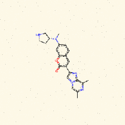 Cc1cn2cc(-c3cc4ccc(N(C)[C@@H]5CCNC5)cc4oc3=O)nc2c(C)n1